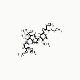 CCCCC(CC)Oc1cnc(OC)c(-c2nnc3/c(=C\c4ccc(OC)c(OC)c4)c(C(C)(C)C)nn23)c1